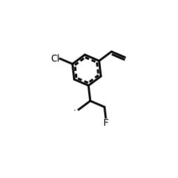 [CH2]C(CF)c1cc(Cl)cc(C=C)c1